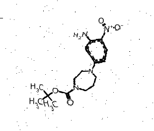 CC(C)(C)OC(=O)N1CCCN(c2ccc([N+](=O)[O-])c(N)c2)CC1